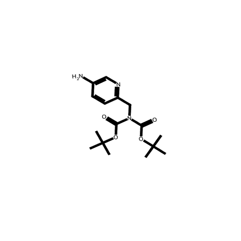 CC(C)(C)OC(=O)N(Cc1ccc(N)cn1)C(=O)OC(C)(C)C